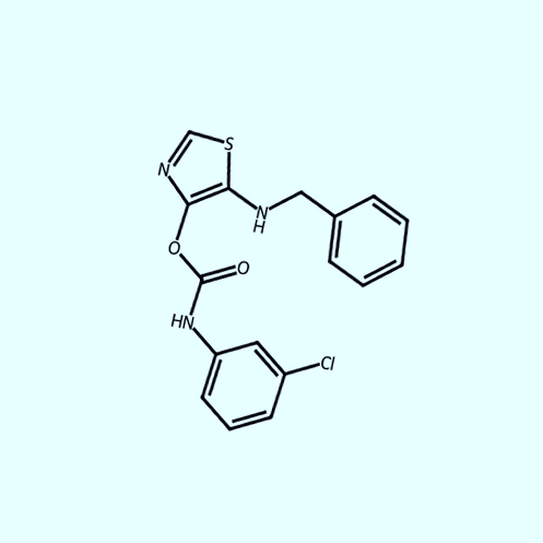 O=C(Nc1cccc(Cl)c1)Oc1ncsc1NCc1ccccc1